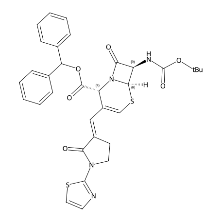 CC(C)(C)OC(=O)N[C@@H]1C(=O)N2[C@@H](C(=O)OC(c3ccccc3)c3ccccc3)C(C=C3CCN(c4nccs4)C3=O)=CS[C@H]12